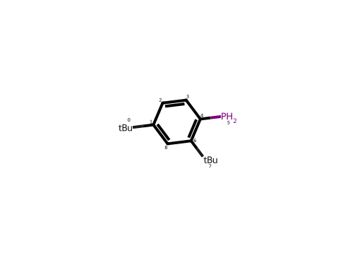 CC(C)(C)c1ccc(P)c(C(C)(C)C)c1